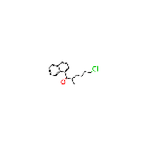 CC(CCCCCl)C(=O)c1cccc2ccccc12